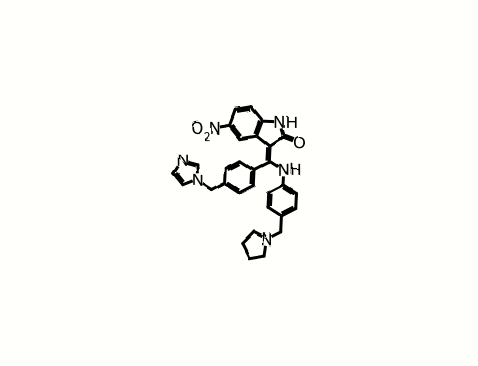 O=C1Nc2ccc([N+](=O)[O-])cc2C1=C(Nc1ccc(CN2CCCC2)cc1)c1ccc(Cn2ccnc2)cc1